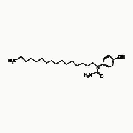 CCCCCCCCCCCCCCCCN(C(N)=O)c1ccc(O)cc1